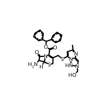 CC1=NC2=CN(CO)NN2C(SCC2=C(C(=O)OC(c3ccccc3)c3ccccc3)N3C(=O)C(N)[C@H]3SC2)=C1